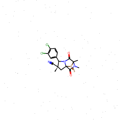 CN1C(=O)C23C[C@](C)(C#N)C(c4ccc(Cl)c(Cl)c4)N2C(=O)C1(C)S3=S